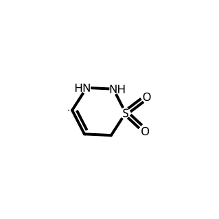 O=S1(=O)CC=[C]NN1